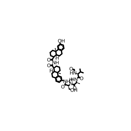 CC(C)[C@H](NC=O)C(=O)N[C@@H](C)C(=O)N[C@@H](CO)C(=O)Nc1ccc2c(c1)[C@@]1(C)CCC[C@](C)(C(=O)NC(=O)[C@@]3(C)CCC[C@]4(C)c5cc(O)ccc5CC[C@@H]34)[C@@H]1CC2